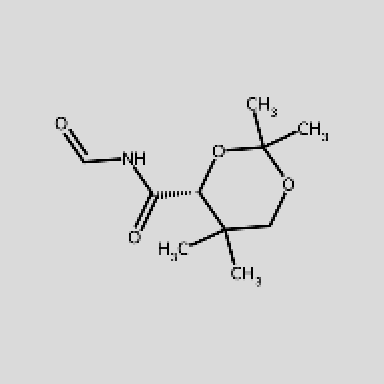 CC1(C)OCC(C)(C)[C@H](C(=O)NC=O)O1